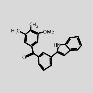 COc1cc(C(=O)c2cccc(-c3cc4ccccc4[nH]3)c2)cc(C)c1C